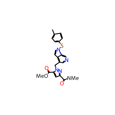 CNC(=O)c1cc(C(=O)OC)n(Cc2cncc3c2ccn3Sc2ccc(C)cc2)n1